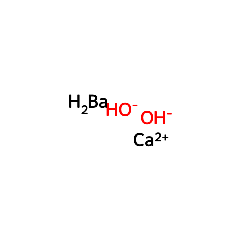 [BaH2].[Ca+2].[OH-].[OH-]